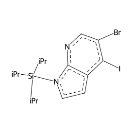 CC(C)[Si](C(C)C)(C(C)C)n1ccc2c(I)c(Br)cnc21